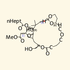 CCCCCCCC(=O)O[C@H]1/C(=C/C(=O)OC)CC2C[C@H](CO)OC(=O)CCCCOCC[C@@H]3CCO[C@H](/C=C/C(C)(C)[C@]1(O)C2=O)O3